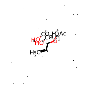 C=CCOOC(C)=O.O=C(O)O.O=C(O)O